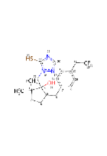 CC1(C)CCC(Cc2ccc(CC(F)(F)F)cc2)C1(O)Cn1ncnc1S